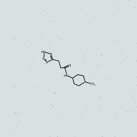 CN1CCC(NC(=O)CCc2nn[nH]n2)CC1